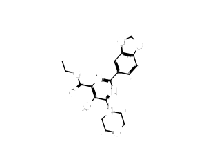 CCOC(=O)c1nc(-c2ccc3c(c2)OCO3)nc(N2CCOCC2)c1O